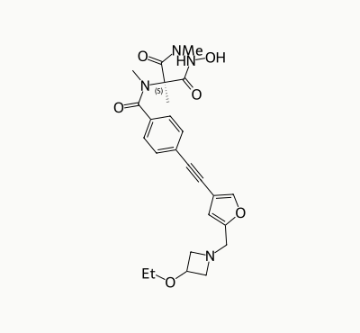 CCOC1CN(Cc2cc(C#Cc3ccc(C(=O)N(C)[C@@](C)(C(=O)NC)C(=O)NO)cc3)co2)C1